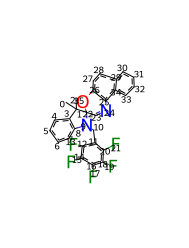 CC1(C)c2ccccc2N(Cc2c(F)c(F)c(F)c(F)c2F)C12C=Nc1c(ccc3ccccc13)O2